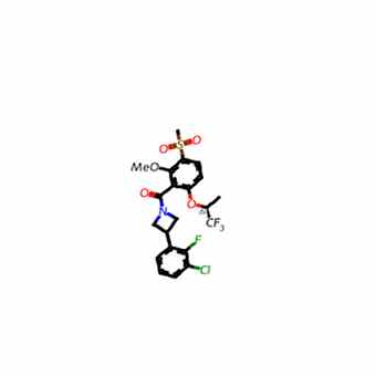 COc1c(S(C)(=O)=O)ccc(O[C@@H](C)C(F)(F)F)c1C(=O)N1CC(c2cccc(Cl)c2F)C1